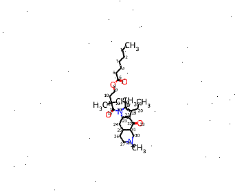 CCCCCCC(=O)OCCC(C)(C)C(=O)n1c(C)c(CC)c2c1CC1CCN(C)CC1C2=O